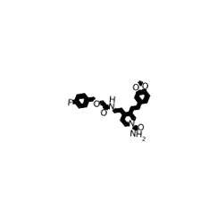 NC(=O)N1CCC(CCNC(=O)COCc2ccc(F)cc2)C(CCc2ccc3c(c2)OCO3)C1